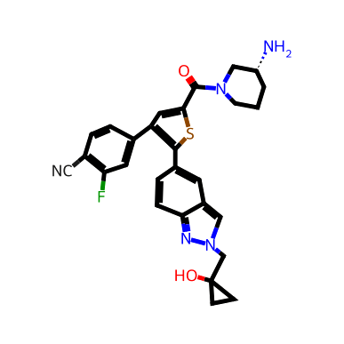 N#Cc1ccc(-c2cc(C(=O)N3CCC[C@@H](N)C3)sc2-c2ccc3nn(CC4(O)CC4)cc3c2)cc1F